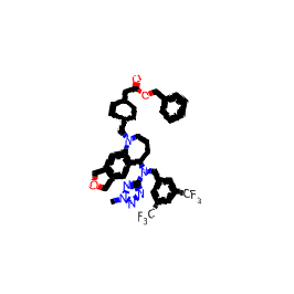 Cn1nnc(N(Cc2cc(C(F)(F)F)cc(C(F)(F)F)c2)C2CCCN(CC3CCC(CC(=O)OCc4ccccc4)CC3)c3cc4c(cc32)COC4)n1